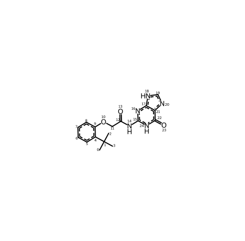 CC(C)(C)c1ccccc1OCC(=O)Nc1nc2[nH]cnc2c(=O)[nH]1